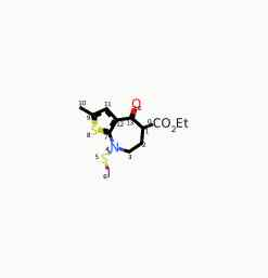 CCOC(=O)C1CCN(SI)c2sc(C)cc2C1=O